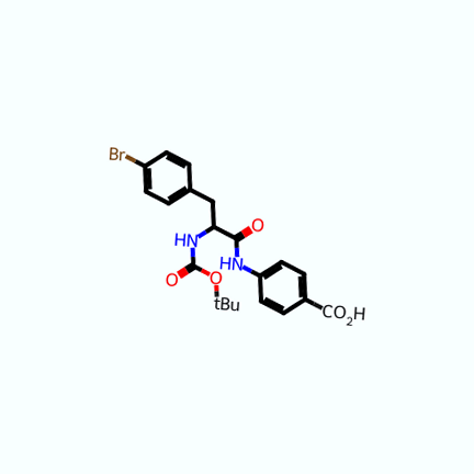 CC(C)(C)OC(=O)NC(Cc1ccc(Br)cc1)C(=O)Nc1ccc(C(=O)O)cc1